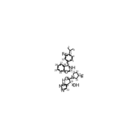 CC(C)c1ccc([C@@H](NC(=O)[C@@H]2C[C@@H](F)CN2C(=O)[C@H](O)c2cnn[nH]2)c2ccccc2)cc1F